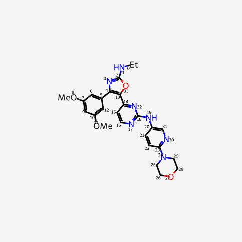 CCNc1nc(-c2cc(OC)cc(OC)c2)c(-c2ccnc(Nc3ccc(N4CCOCC4)nc3)n2)o1